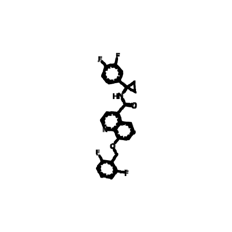 O=C(NC1(c2ccc(F)c(F)c2)CC1)c1ccnc2c(OCc3c(F)cccc3F)cccc12